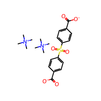 C[N+](C)(C)C.C[N+](C)(C)C.O=C([O-])c1ccc(S(=O)(=O)c2ccc(C(=O)[O-])cc2)cc1